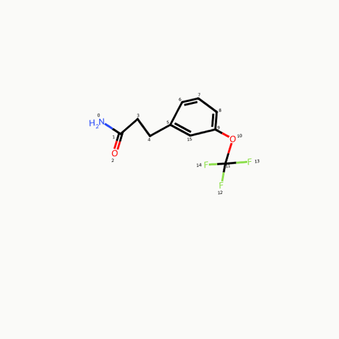 NC(=O)CCc1cccc(OC(F)(F)F)c1